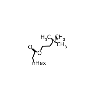 CCCCCCCC(=O)OCC[N+](C)(C)C